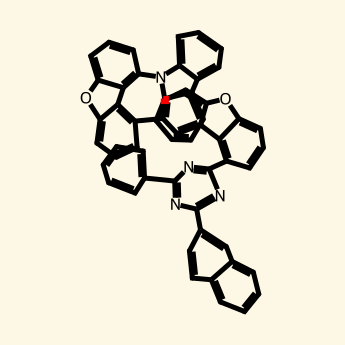 c1ccc(-c2nc(-c3ccc4ccccc4c3)nc(-c3cccc4oc5ccc(-c6cccc7oc8cccc(-n9c%10ccccc%10c%10ccccc%109)c8c67)cc5c34)n2)cc1